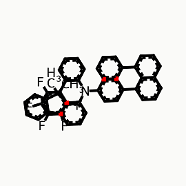 CC1(C)c2ccccc2-c2cccc(N(c3ccc(-c4cccc5cccc(-c6ccccc6)c45)cc3)c3ccccc3-c3c(F)c(F)c(F)c(F)c3F)c21